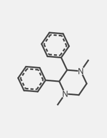 CN1CCN(C)C(c2ccccc2)C1c1ccccc1